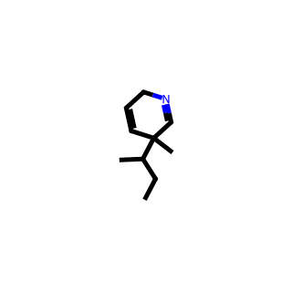 CCC(C)C1(C)C=CCN=C1